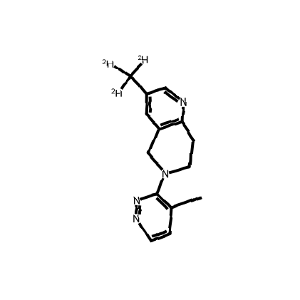 [2H]C([2H])([2H])c1cnc2c(c1)CN(c1nnccc1C)CC2